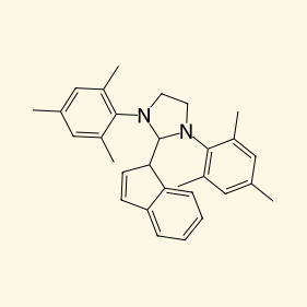 Cc1cc(C)c(N2CCN(c3c(C)cc(C)cc3C)C2C2C=Cc3ccccc32)c(C)c1